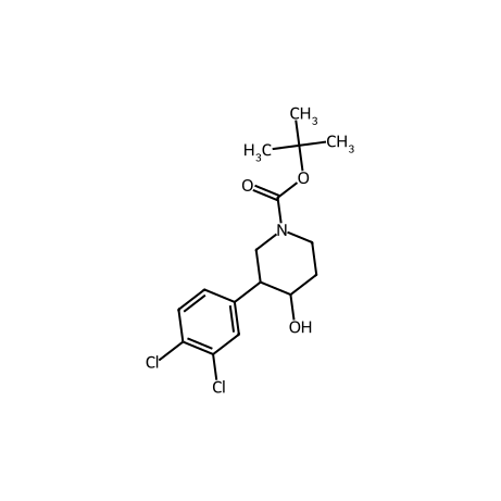 CC(C)(C)OC(=O)N1CCC(O)C(c2ccc(Cl)c(Cl)c2)C1